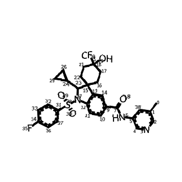 Cc1cncc(NC(=O)c2ccc3c(c2)C2(CCC(O)(C(F)(F)F)CC2)C(C2CC2)N3S(=O)(=O)c2ccc(F)cc2)c1